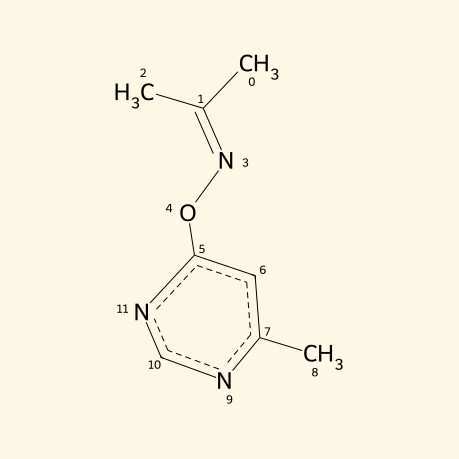 CC(C)=NOc1cc(C)ncn1